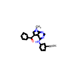 CC(=O)Nc1cccc(Nc2ncnc3c2c(C(=O)c2ccccc2)cn3C)c1